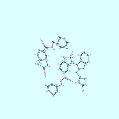 Cc1ccc(CC2=Cc3ccccc3C2C2C(=O)Nc3ccc(C(=O)OCc4ccccc4)cc32)s1.O=C1Cc2cc(C(=O)OCc3ccccc3)ccc2N1